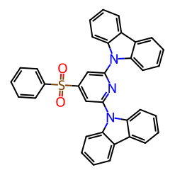 O=S(=O)(c1ccccc1)c1cc(-n2c3ccccc3c3ccccc32)nc(-n2c3ccccc3c3ccccc32)c1